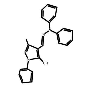 Cc1nn(-c2ccccc2)c(O)c1/C=N/N(c1ccccc1)c1ccccc1